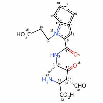 C[C@H](NC(=O)c1cc2ccccc2n1CCC(=O)O)C(=O)[C@H](C=O)C(N)C(=O)O